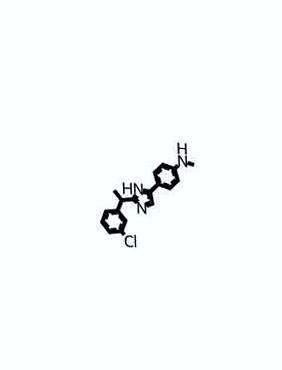 CNc1ccc(-c2cnc(C(C)c3cccc(Cl)c3)[nH]2)cc1